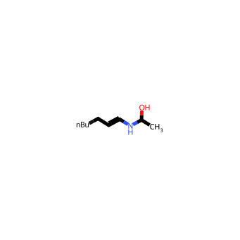 CCCCCC=CNC(C)O